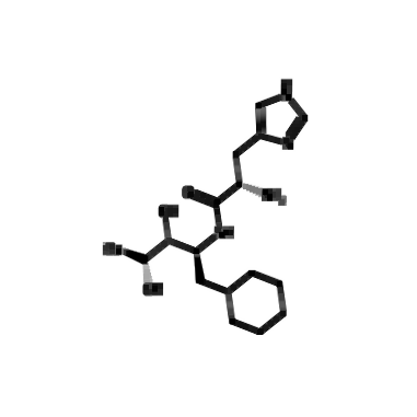 CC[C@H](C)[C@@H](O)C(O)[C@H](CC1CCCCC1)NC(=O)[C@@H](N)Cc1c[nH]cn1